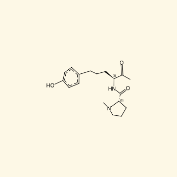 CC(=O)[C@H](CCCc1ccc(O)cc1)NC(=O)[C@@H]1CCCN1C